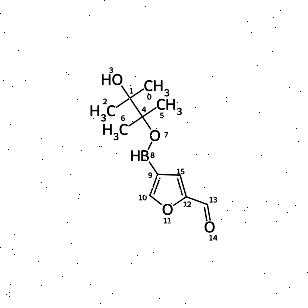 CC(C)(O)C(C)(C)OBc1coc(C=O)c1